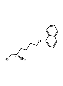 N[C@@H](CS)CCCCOc1cccc2ccccc12